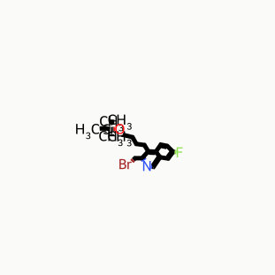 CC(C)(C)[Si](C)(C)OCCCCc1c(CBr)ncc2cc(F)ccc12